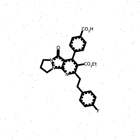 CCOC(=O)c1c(CCc2ccc(F)cc2)nc2c(c1-c1ccc(C(=O)O)cc1)c(=O)n1n2CCC1